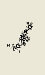 CN(C)c1ccc(CNC(=O)c2c3ncnn(N4CCN(CCc5ccc(F)c(F)c5)CC4)c-3c3c2CCCC3)cc1